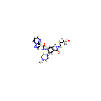 CC(C)N1CCN(c2cc3c(cc2NC(=O)c2cnn4cccnc24)CN(CC(F)C(C)(C)O)C3=O)CC1